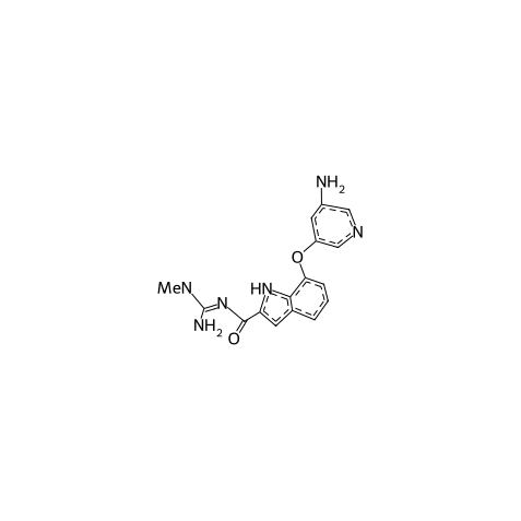 CNC(N)=NC(=O)c1cc2cccc(Oc3cncc(N)c3)c2[nH]1